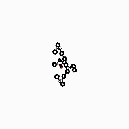 c1ccc(-c2nc3ccccc3n2-c2ccc(-c3ccc4c(c3)c3cc5c(cc3n4-c3cccc4ccccc34)-c3ccc(-c4ccc(-c6nc7ccccc7n6-c6ccccc6)cc4)cc3C53c4ccccc4N(c4ccccc4)c4ccccc43)cc2)cc1